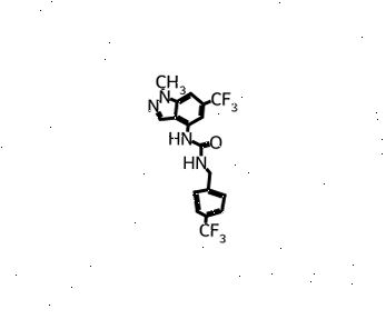 Cn1ncc2c(NC(=O)NCc3ccc(C(F)(F)F)cc3)cc(C(F)(F)F)cc21